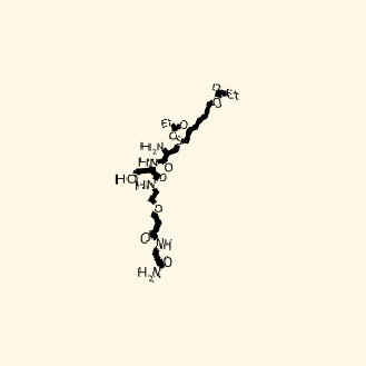 CCC(=O)OCCCCC(CSCC(N)C(=O)NC(CO)C(=O)NCCOCCC(=O)NCC(N)=O)OC(=O)CC